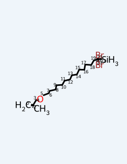 C=C(C)COCCCCCCCCCCCCCCCC([SiH3])(Br)Br